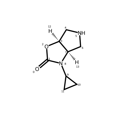 O=C1O[C@H]2CNC[C@H]2N1C1CC1